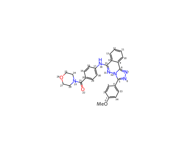 COc1ccc(-c2nnc3c4ccccc4c(Nc4ccc(C(=O)N5CCOCC5)cc4)nn23)cc1